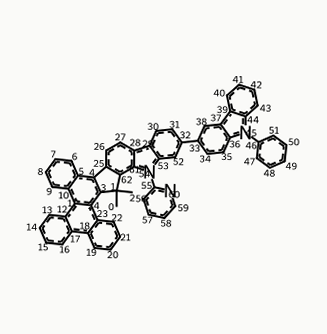 CC1(C)c2c(c3ccccc3c3c4ccccc4c4ccccc4c23)-c2ccc3c4ccc(-c5ccc6c(c5)c5ccccc5n6-c5ccccc5)cc4n(-c4ccccn4)c3c21